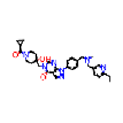 CCc1ccc(CN(C)Cc2ccc(-n3ncc4c(=O)n(CC5(O)CCN(C(=O)C6CC6)CC5)cnc43)cc2)cn1